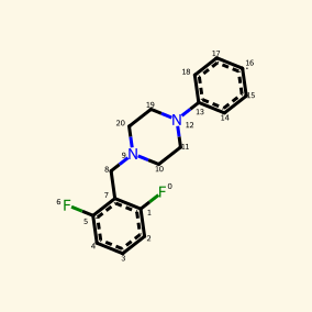 Fc1cccc(F)c1CN1CCN(c2cc[c]cc2)CC1